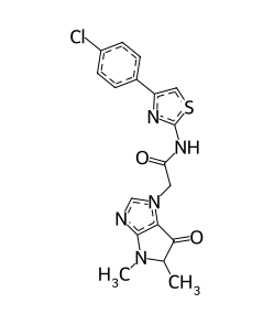 CC1C(=O)c2c(ncn2CC(=O)Nc2nc(-c3ccc(Cl)cc3)cs2)N1C